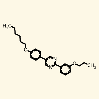 CCCCCCOc1ccc(-c2cnc(-c3cccc(OCCC)c3)nc2)cc1